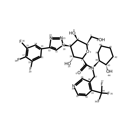 O=C([C@@H]1O[C@H](CO)[C@H](O)[C@H](n2cc(-c3cc(F)c(F)c(F)c3)nn2)[C@H]1O)N(Cc1cnccc1C(F)(F)F)[C@H]1CCCC[C@@H]1O